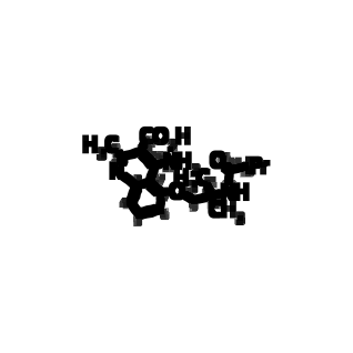 Cc1nc2cccc(OCC(C)(C)NC(=O)C(C)C)c2c(N)c1C(=O)O